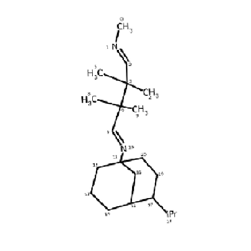 C/N=C/C(C)(C)C(C)(C)/C=N/C12CCCC(C1)C(C(C)C)CC2